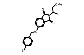 COCC(C)N1C(=O)c2ccc(OCc3ccc(Br)cc3)cc2C1=O